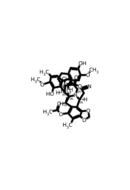 COc1cc2c(cc1O)CCNC21CS[C@H]2c3c(OC(C)=O)c(C)c4c(c3[C@H](COC1=O)N1[C@@H]2[C@H]2c3c(cc(C)c(OC)c3O)CC([C@@H]1C#N)N2C)OCO4